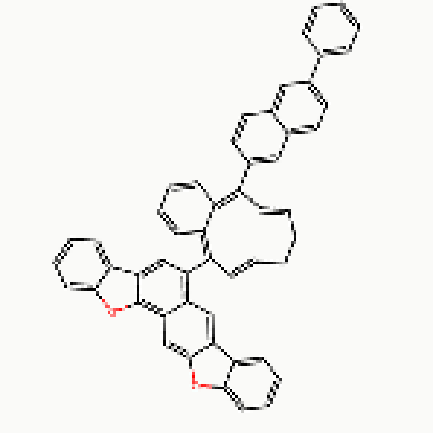 C1=C/C(c2ccc3cc(-c4ccccc4)ccc3c2)=c2/cccc/c2=C(c2cc3c4ccccc4oc3c3cc4oc5ccccc5c4cc23)/C=C/CC/1